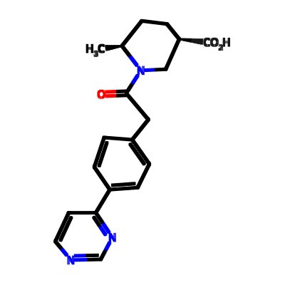 C[C@H]1CC[C@@H](C(=O)O)CN1C(=O)Cc1ccc(-c2ccncn2)cc1